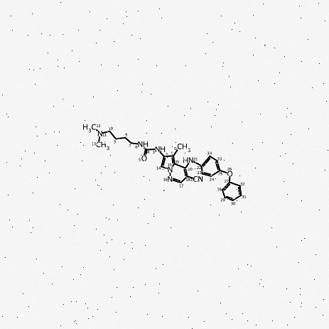 Cc1c(NC(=O)NCCCCN(C)C)cn2ncc(C#N)c(Nc3ccc(Oc4ccccc4)cc3)c12